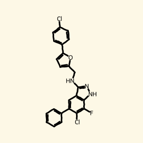 Fc1c(Cl)c(-c2ccccc2)cc2c(NCc3ccc(-c4ccc(Cl)cc4)o3)n[nH]c12